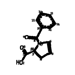 O=C(O)[C@@H]1CC=CN1C(=O)c1ccccc1